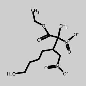 CCCCCC(C[N+](=O)[O-])C(C)(C(=O)OCC)[N+](=O)[O-]